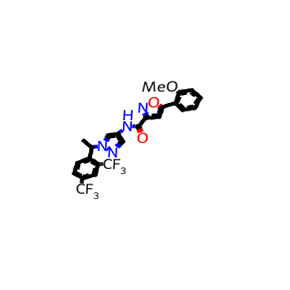 COc1ccccc1-c1cc(C(=O)Nc2cnn(C(C)c3ccc(C(F)(F)F)cc3C(F)(F)F)c2)no1